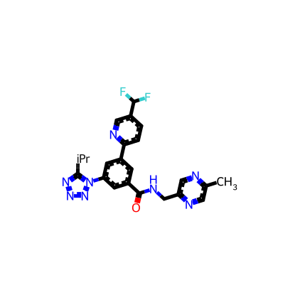 Cc1cnc(CNC(=O)c2cc(-c3ccc(C(F)F)cn3)cc(-n3nnnc3C(C)C)c2)cn1